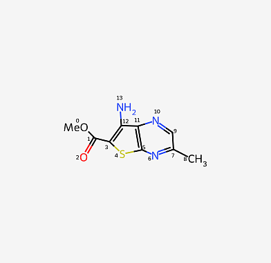 COC(=O)c1sc2nc(C)cnc2c1N